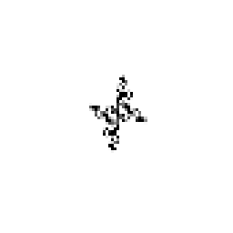 CCOC(=O)CN(CCN(CC(=O)OCC)CC(=O)OCC)CC(=O)OCC